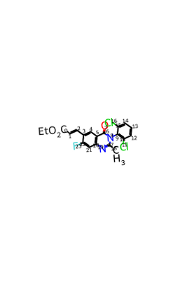 CCOC(=O)/C=C/c1cc2c(=O)n(-c3c(Cl)cccc3Cl)c(C)nc2cc1F